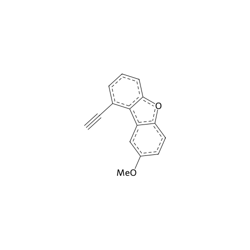 C#Cc1cccc2oc3ccc(OC)cc3c12